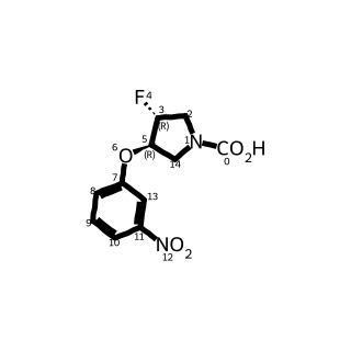 O=C(O)N1C[C@@H](F)[C@H](Oc2cccc([N+](=O)[O-])c2)C1